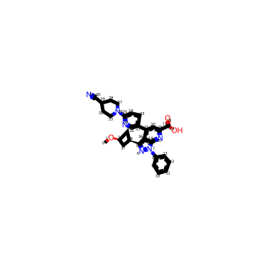 CO[C@H]1C[C@@H](c2nn(-c3ccccc3)c3nc(C(=O)O)cc(-c4ccc(N5CCC(C#N)CC5)nc4)c32)C1